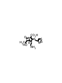 C[C@@H](O)[C@H]1C(=O)N2C(C(=O)O)=C(SCc3csnn3)[C@H](CCN)[C@H]12